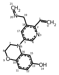 C=Cc1ncc(N2CCOc3ccc(O)cc32)cc1CN=C